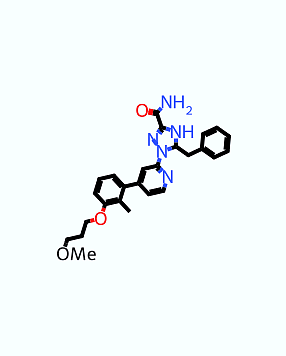 COCCCOc1cccc(-c2ccnc(N3N=C(C(N)=O)NC3Cc3ccccc3)c2)c1C